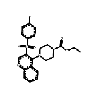 CCOC(=O)C1CCN(c2c(S(=O)(=O)c3ccc(C)cc3)cnc3ccccc23)CC1